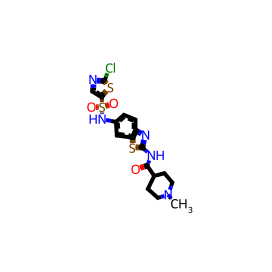 CN1CCC(C(=O)Nc2nc3ccc(NS(=O)(=O)c4cnc(Cl)s4)cc3s2)CC1